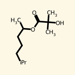 CC(C)CCCC(C)OC(=O)C(C)(C)O